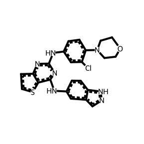 Clc1cc(Nc2nc(Nc3ccc4[nH]ncc4c3)c3sccc3n2)ccc1N1CCOCC1